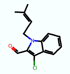 CC(C)=CCn1c(C=O)c(Cl)c2ccccc21